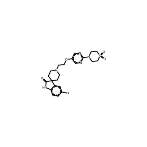 O=C1Nc2ccc(Cl)cc2C12CCN(CCOc1cnc(N3CCS(=O)(=O)CC3)nc1)CC2